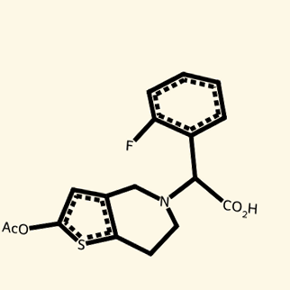 CC(=O)Oc1cc2c(s1)CCN(C(C(=O)O)c1ccccc1F)C2